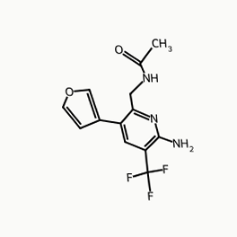 CC(=O)NCc1nc(N)c(C(F)(F)F)cc1-c1ccoc1